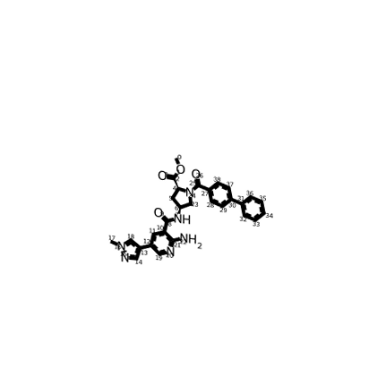 COC(=O)[C@@H]1C[C@H](NC(=O)c2cc(-c3cnn(C)c3)cnc2N)CN1C(=O)c1ccc(-c2ccccc2)cc1